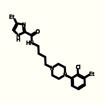 CCc1c[nH]c(C(=O)NCCCCN2CCN(c3cccc(CC)c3Cl)CC2)n1